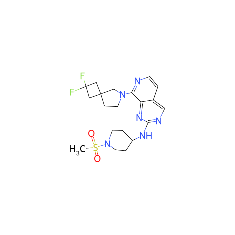 CS(=O)(=O)N1CCC(Nc2ncc3ccnc(N4CCC5(C4)CC(F)(F)C5)c3n2)CC1